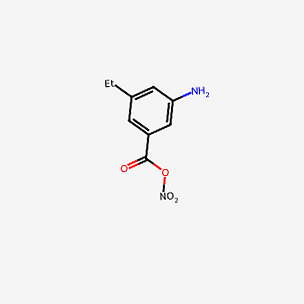 CCc1cc(N)cc(C(=O)O[N+](=O)[O-])c1